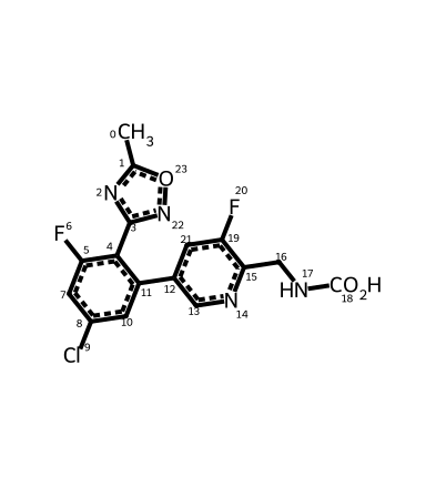 Cc1nc(-c2c(F)cc(Cl)cc2-c2cnc(CNC(=O)O)c(F)c2)no1